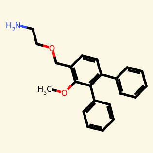 COc1c(COCCN)ccc(-c2ccccc2)c1-c1ccccc1